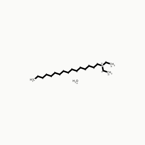 CCCCCCCCCCCCCCCCN(CC)CC.O